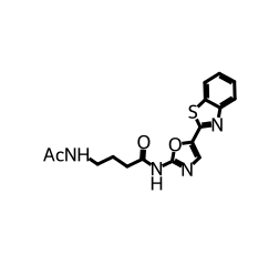 CC(=O)NCCCC(=O)Nc1ncc(-c2nc3ccccc3s2)o1